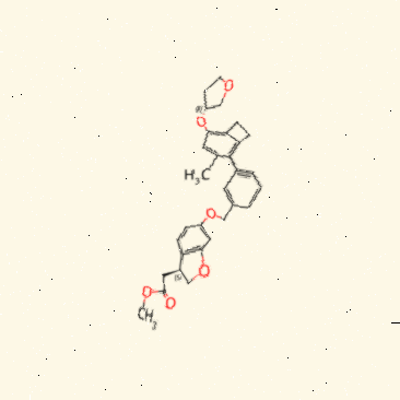 COC(=O)C[C@@H]1COc2cc(OCc3cccc(-c4c(C)cc(O[C@@H]5CCOC5)c5c4CC5)c3)ccc21